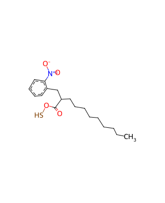 CCCCCCCCCC(Cc1ccccc1[N+](=O)[O-])C(=O)OS